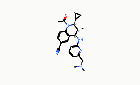 CC(=O)N1c2ccc(C#N)cc2[C@H](Nc2cccc(CN(C)C)n2)[C@@H](C)[C@@H]1C1CC1